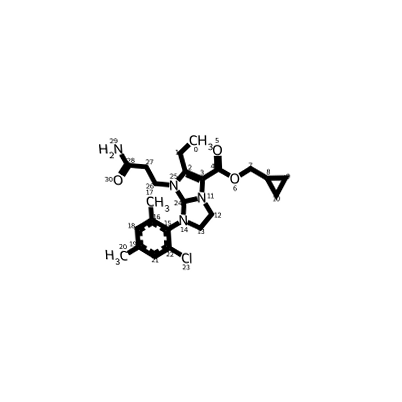 CCC1=C(C(=O)OCC2CC2)N2CCN(c3c(C)cc(C)cc3Cl)C2N1CCC(N)=O